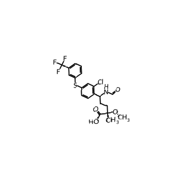 COC(C)(CCC(NC=O)c1ccc(Sc2cccc(C(F)(F)F)c2)cc1Cl)C(=O)O